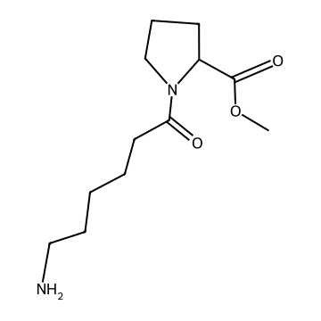 COC(=O)C1CCCN1C(=O)CCCCCN